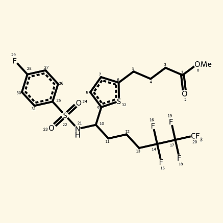 COC(=O)CCCc1ccc(C(CCCC(F)(F)C(F)(F)C(F)(F)F)NS(=O)(=O)c2ccc(F)cc2)s1